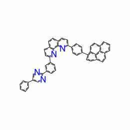 c1ccc(-c2cnc(-c3cccc(-c4ccc5ccc6ccc(-c7ccc(-c8ccc9ccc%10cccc%11ccc8c9c%10%11)cc7)nc6c5n4)c3)nc2)cc1